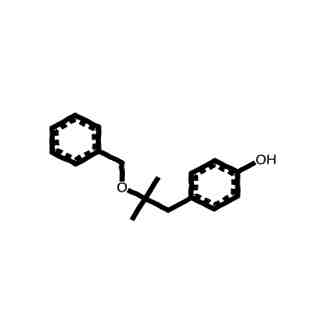 CC(C)(Cc1ccc(O)cc1)OCc1ccccc1